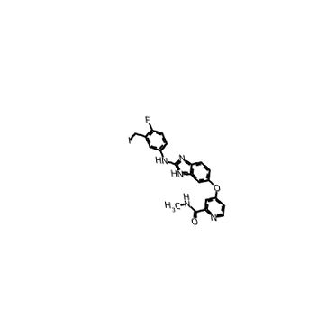 CNC(=O)c1cc(Oc2ccc3nc(Nc4ccc(F)c(CI)c4)[nH]c3c2)ccn1